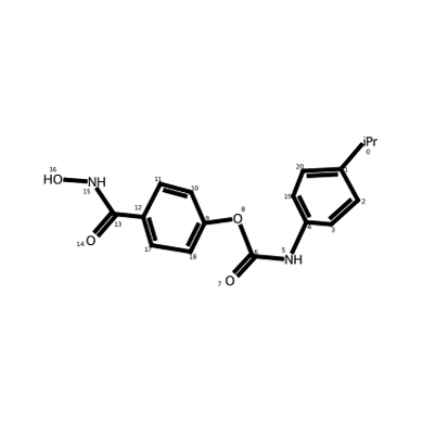 CC(C)c1ccc(NC(=O)Oc2ccc(C(=O)NO)cc2)cc1